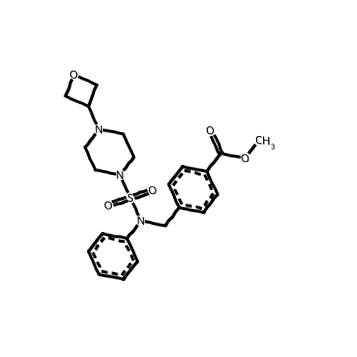 COC(=O)c1ccc(CN(c2ccccc2)S(=O)(=O)N2CCN(C3COC3)CC2)cc1